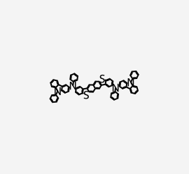 c1ccc(N(c2ccc3sc4cc5cc6c(cc5cc4c3c2)sc2ccc(N(c3ccccc3)c3ccc4c(c3)c3ccccc3n4-c3ccccc3)cc26)c2ccc3c(c2)c2ccccc2n3-c2ccccc2)cc1